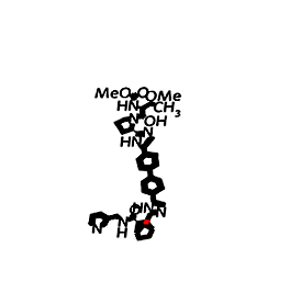 COC(=O)N[C@H](C(O)N1CCC[C@H]1c1ncc(-c2ccc(-c3ccc(-c4cnc(C5C6CCC(C6)[C@@H]5C(=O)NCc5cccnc5)[nH]4)cc3)cc2)[nH]1)[C@@H](C)OC